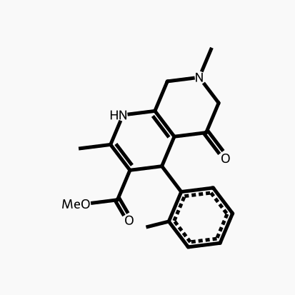 COC(=O)C1=C(C)NC2=C(C(=O)CN(C)C2)C1c1ccccc1C